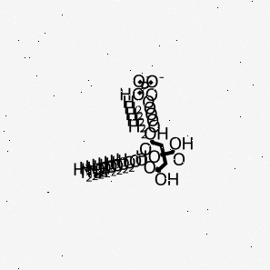 O.O.O.O.O.O.O.O.O.O.O.O.O.O=C(O)CC(O)(CC(=O)O)C(=O)O.O=P([O-])([O-])O.[Na+].[Na+]